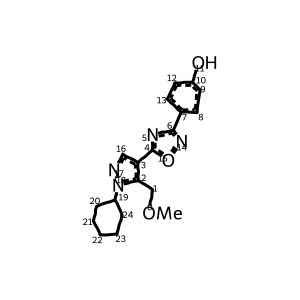 COCc1c(-c2nc(-c3ccc(O)cc3)no2)cnn1C1CCCCC1